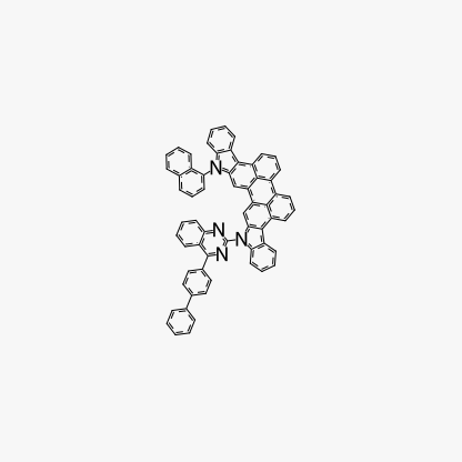 c1ccc(-c2ccc(-c3nc(-n4c5ccccc5c5c6cccc7c8cccc9c8c(cc8c9c9ccccc9n8-c8cccc9ccccc89)c(cc54)c76)nc4ccccc34)cc2)cc1